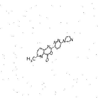 Cc1ccc2nc(-c3ccc(-n4ccnc4)nn3)oc(=O)c2n1